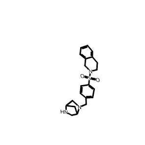 O=S(=O)(c1ccc(CN2CC3CC2CN3)cc1)N1CCc2ccccc2C1